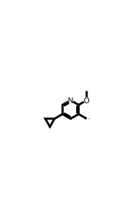 [CH2]c1cc(C2CC2)cnc1OC